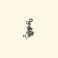 Nc1nc(F)nc2c1ncn2[C@@H]1O[C@H](COC(=O)c2ccccc2)C[C@@H]1F